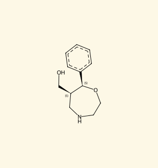 OC[C@@H]1CNCCO[C@@H]1c1ccccc1